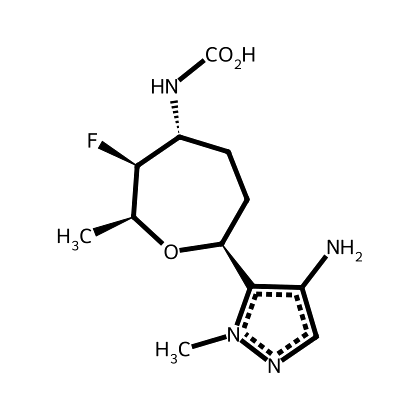 C[C@@H]1O[C@H](c2c(N)cnn2C)CC[C@@H](NC(=O)O)[C@@H]1F